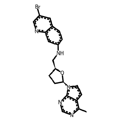 Cc1ncnc2c1ccn2[C@H]1CC[C@@H](CNc2ccc3cc(Br)cnc3c2)O1